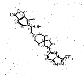 Cc1c([C@@H](O)CN2CCC3(CC2)CCN(c2ccc4nnc(C(F)(F)F)n4n2)C3)ccc2c1COC2=O